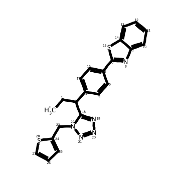 CCC(c1ccc(-c2nc3ccccc3s2)cc1)c1nnnn1Cc1cccs1